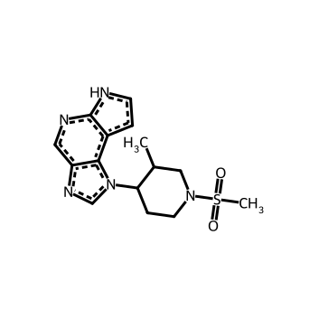 CC1CN(S(C)(=O)=O)CCC1n1cnc2cnc3[nH]ccc3c21